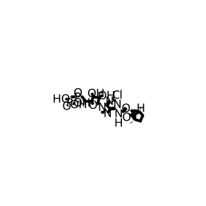 CC1(C)[C@@H]2CC[C@@]1(C)C(OC(=O)Nc1nc(Cl)nc3c1ncn3C1OC(CCP(=O)(O)CP(=O)(O)O)C(O)C1O)C2